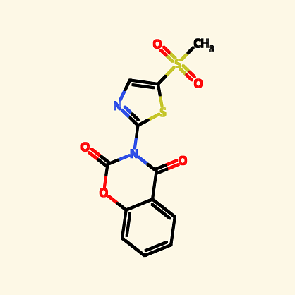 CS(=O)(=O)c1cnc(-n2c(=O)oc3ccccc3c2=O)s1